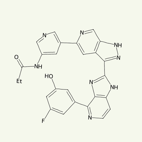 CCC(=O)Nc1cncc(-c2cc3c(-c4nc5c(-c6cc(O)cc(F)c6)nccc5[nH]4)n[nH]c3cn2)c1